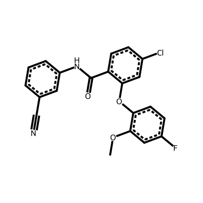 COc1cc(F)ccc1Oc1cc(Cl)ccc1C(=O)Nc1cccc(C#N)c1